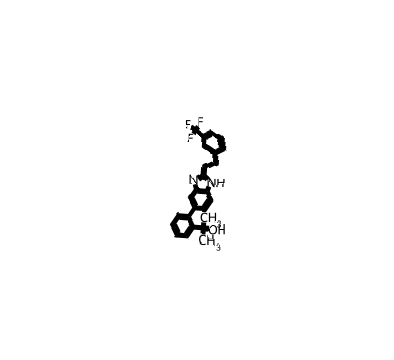 CC(C)(O)c1ccccc1-c1ccc2[nH]c(CCc3cccc(C(F)(F)F)c3)nc2c1